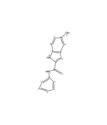 O=C(Nc1ccccc1)c1cc2cc(O)ccc2[nH]1